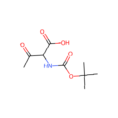 CC(=O)C(NC(=O)OC(C)(C)C)C(=O)O